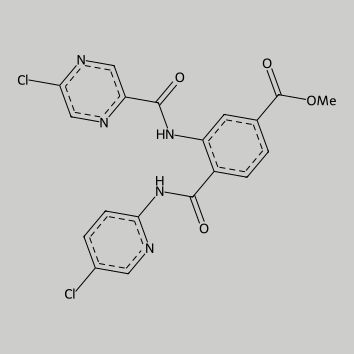 COC(=O)c1ccc(C(=O)Nc2ccc(Cl)cn2)c(NC(=O)c2cnc(Cl)cn2)c1